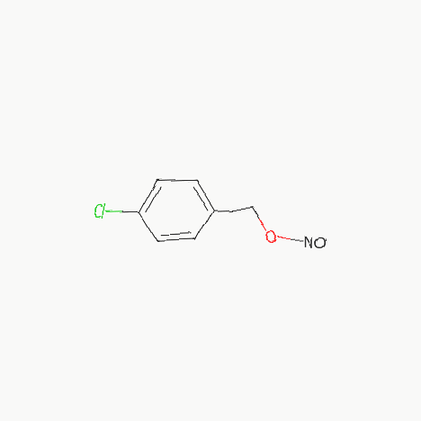 O=NOCc1ccc(Cl)cc1